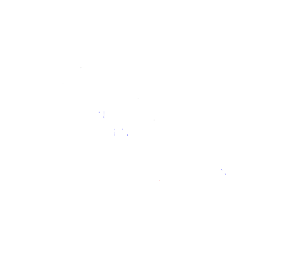 CN1CCC(C(=O)c2cccc(NC(=S)Nc3ccccc3)c2)CC1